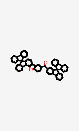 O=C(c1ccc2c(c1)C1(c3ccccc3-c3ccccc31)c1ccccc1-2)c1ccc2oc3c4c(ccc3c2c1)C1(c2ccccc2-c2ccccc21)c1ccccc1-4